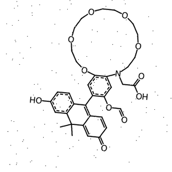 CC1(C)C2=CC(=O)C=CC2=C(c2cc3c(cc2OC=O)N(CC(=O)O)CCOCCOCCOCCOCCO3)c2ccc(O)cc21